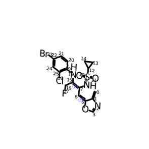 C=c1nco/c1=C/C(NS(=O)(=O)C1CC1)=C(\CF)Nc1ccc(Br)cc1Cl